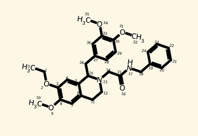 CCOc1cc2c(cc1OC)CCN(CC(=O)NCc1ccccc1)C2Cc1ccc(OC)c(OC)c1